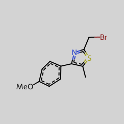 COc1ccc(-c2nc(CBr)sc2C)cc1